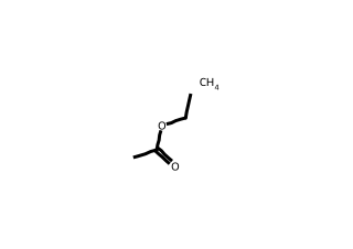 C.CCOC(C)=O